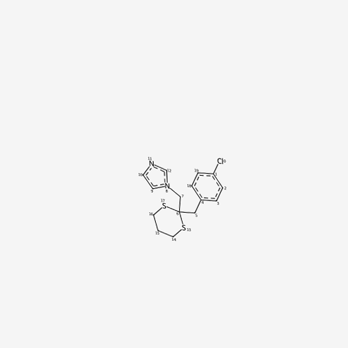 Clc1ccc(CC2(Cn3ccnc3)SCCCS2)cc1